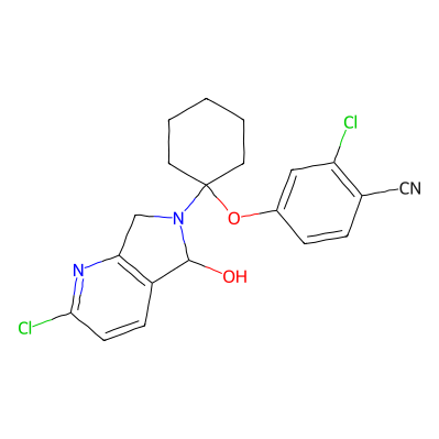 N#Cc1ccc(OC2(N3Cc4nc(Cl)ccc4C3O)CCCCC2)cc1Cl